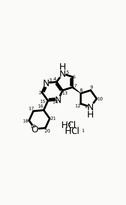 Cl.Cl.c1nc2[nH]cc([C@H]3CCNC3)c2nc1C1CCOCC1